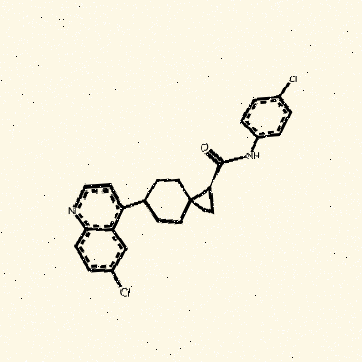 O=C(Nc1ccc(Cl)cc1)[C@H]1CC12CCC(c1ccnc3ccc(Cl)cc13)CC2